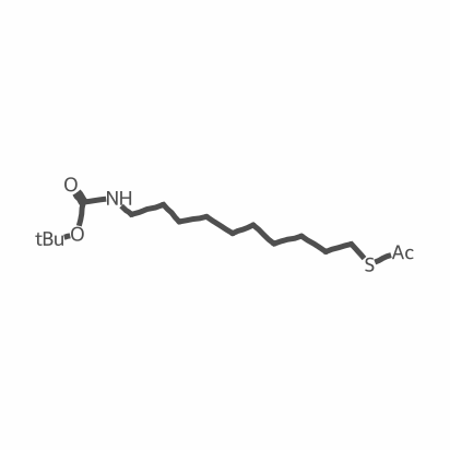 CC(=O)SCCCCCCCCCCNC(=O)OC(C)(C)C